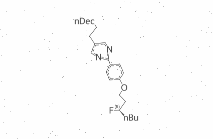 CCCCCCCCCCCCc1cnc(-c2ccc(OCC[C@H](F)CCCC)cc2)nc1